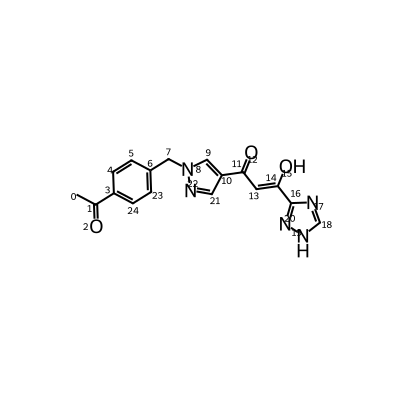 CC(=O)c1ccc(Cn2cc(C(=O)C=C(O)c3nc[nH]n3)cn2)cc1